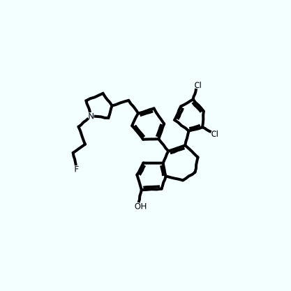 Oc1ccc2c(c1)CCCC(c1ccc(Cl)cc1Cl)=C2c1ccc(CC2CCN(CCCF)C2)cc1